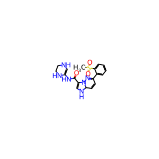 CS(=O)(=O)c1ccccc1C1=NN2C(C(=O)NC3=CNCCN3)=CNC2C=C1